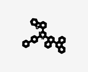 c1ccc(-c2ccc(-c3nc(-c4ccc(-c5cc6ccccc6c6ccccc56)c5ccccc45)cc(-c4cccc5c4oc4ccccc45)n3)cc2)cc1